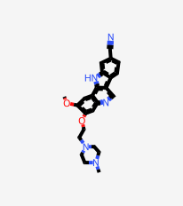 COc1cc2c(cc1OCCN1CCN(C)CC1)ncc1c3ccc(C#N)cc3[nH]c21